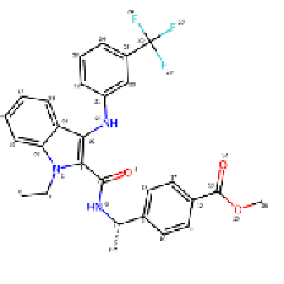 CCn1c(C(=O)N[C@@H](C)c2ccc(C(=O)OC)cc2)c(Nc2cccc(C(F)(F)F)c2)c2ccccc21